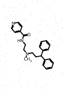 CN(CCNC(=O)c1ccncc1)CCC(c1ccccc1)c1ccccc1